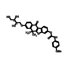 COc1ccc(NC(=O)Oc2ccc3c4c(oc3c2)C(C)(C)c2cc(OC[C@@H](O)[C@H](O)CO)ccc2C4=O)cc1